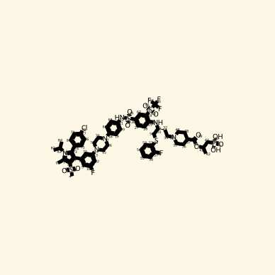 Cc1c(S(C)(=O)=O)c(-c2cc(F)cc(N3CCN(c4ccc(NS(=O)(=O)c5ccc(N[C@H](CCN6CCC(C(=O)OC(C)CP(=O)(O)O)CC6)CSc6ccccc6F)c(S(=O)(=O)C(F)(F)F)c5)cc4)CC3)c2)c(-c2ccc(Cl)cc2)n1C(C)C